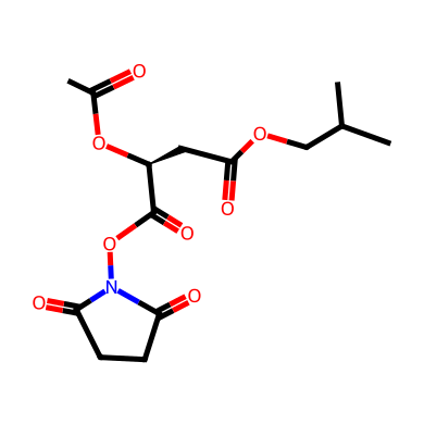 CC(=O)O[C@@H](CC(=O)OCC(C)C)C(=O)ON1C(=O)CCC1=O